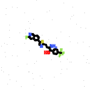 N[C@H](CCc1ncc(-c2ccc3cnc(F)cc3c2)s1)[C@@H](O)c1ccc(C(F)(F)F)cc1